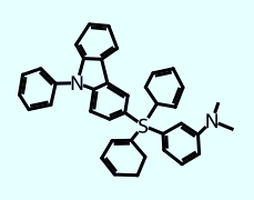 CN(C)c1cccc(S(C2=CC=CCC2)(c2ccc3c(c2)c2ccccc2n3-c2ccccc2)C2C=CC=CC2)c1